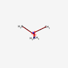 CCCCCC=CCC=CCCCCCCCCOc1cc(C(=O)OCCN(C)C)cc(OCCCCCCCCC=CCC=CCCCCC)n1